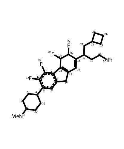 CNC1CCC(c2cc3c(c(F)c2F)C2=C(C=C(C(CCC(C)C)CC4CCC4)C(F)C2F)C3)CC1